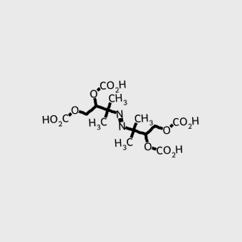 CC(C)(N=NC(C)(C)C(COC(=O)O)OC(=O)O)C(COC(=O)O)OC(=O)O